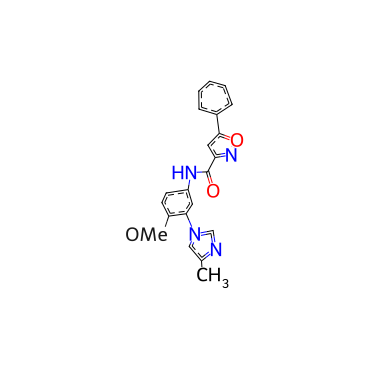 COc1ccc(NC(=O)c2cc(-c3ccccc3)on2)cc1-n1cnc(C)c1